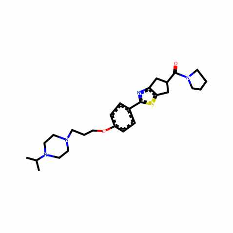 CC(C)N1CCN(CCCOc2ccc(-c3nc4c(s3)CC(C(=O)N3CCCC3)C4)cc2)CC1